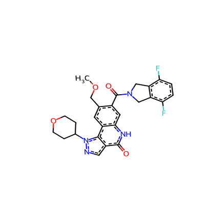 COCc1cc2c(cc1C(=O)N1Cc3c(F)ccc(F)c3C1)[nH]c(=O)c1cnn(C3CCOCC3)c12